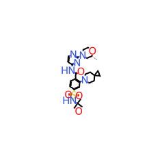 C[C@@H]1CN(c2nccc(NC(=O)c3ccc(S(=O)(=O)NC4(C)COC4)cc3N3CCC4(CC3)CC4)n2)CCO1